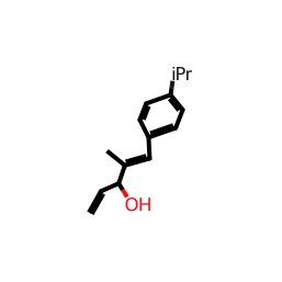 C=CC(O)/C(C)=C/c1ccc(C(C)C)cc1